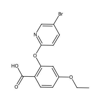 CCOc1ccc(C(=O)O)c(Oc2ccc(Br)cn2)c1